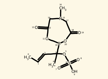 C/C=C/C(C)(OS(=O)(=O)O)B1OC(=O)CN(C)CC(=O)O1